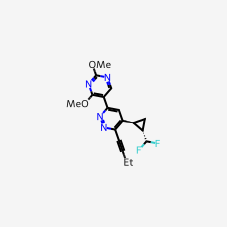 CCC#Cc1nnc(-c2cnc(OC)nc2OC)cc1[C@H]1C[C@@H]1C(F)F